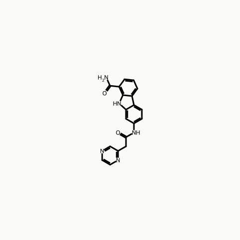 NC(=O)c1cccc2c1[nH]c1cc(NC(=O)Cc3cnccn3)ccc12